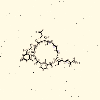 CC(=O)CC[C@H]1C(=O)N[C@@H](C(C)C)C(=O)N[C@@H](Cc2cc(O)cc(F)c2)C(=O)N2CCCC(N2)C(=O)O[C@H](/C(C)=C/C=C/C(=O)NO)C/C=C/C=C/C=C(\C)[C@H]1O